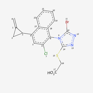 C=C1CC1c1cc(Cl)c(-n2c(Br)nnc2SCC(=O)O)c2ccccc12